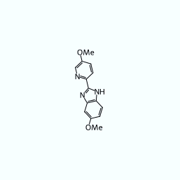 COc1ccc(-c2nc3cc(OC)ccc3[nH]2)nc1